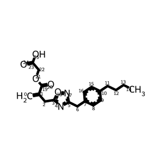 C=C(Cc1nc(Cc2ccc(CCCC)cc2)no1)C(=O)OCC(=O)O